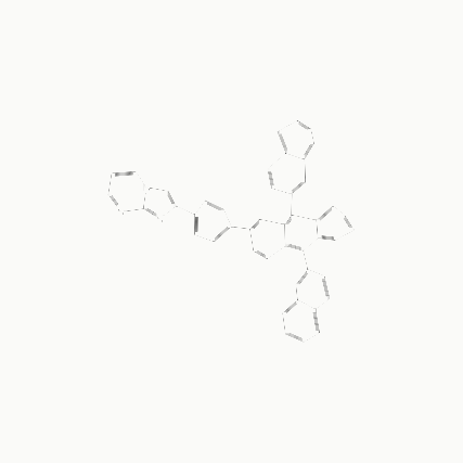 c1ccc2cc(-c3c4ccccc4c(-c4ccc5ccccc5c4)c4cc(-c5ccc(-c6cn7cccnc7n6)cc5)ccc34)ccc2c1